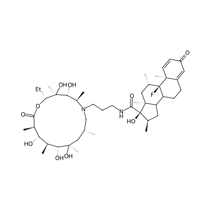 CC[C@H]1OC(=O)[C@H](C)[C@@H](O)[C@H](C)[C@@H](O)[C@](C)(O)C[C@@H](C)CN(CCCNC(=O)[C@@]2(O)[C@H](C)CC3C4CCC5=CC(=O)C=C[C@]5(C)[C@@]4(F)[C@@H](C)C[C@@]32C)[C@H](C)[C@@H](O)[C@]1(C)O